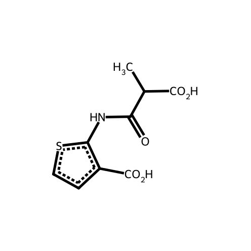 CC(C(=O)O)C(=O)Nc1sccc1C(=O)O